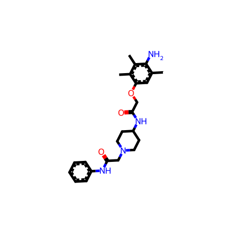 Cc1cc(OCC(=O)NC2CCN(CC(=O)Nc3ccccc3)CC2)c(C)c(C)c1N